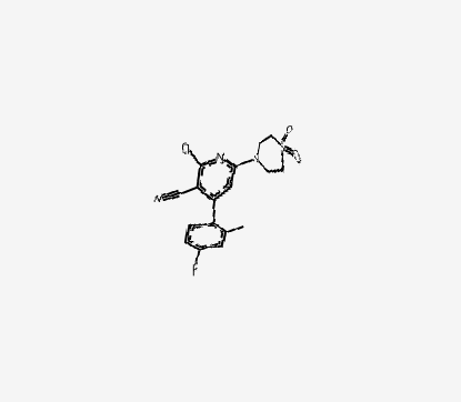 Cc1cc(F)ccc1-c1cc(N2CCS(=O)(=O)CC2)nc(Cl)c1C#N